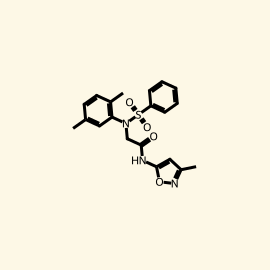 Cc1ccc(C)c(N(CC(=O)Nc2cc(C)no2)S(=O)(=O)c2ccccc2)c1